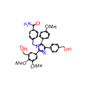 COc1ccc(-c2c(-c3ccc(CO)cc3)nc(-c3cc(CO)c(OC)c(OC)c3)n2Cc2ccc(C(N)=O)cc2)cc1